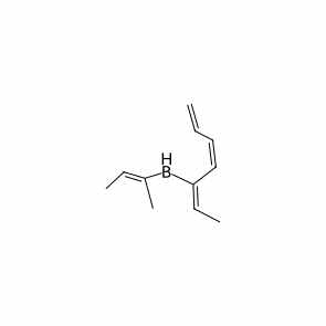 C=C/C=C\C(B/C(C)=C/C)=C/C